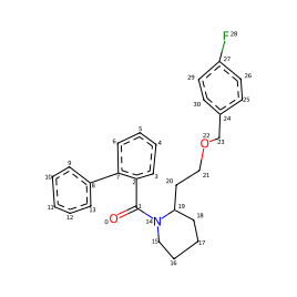 O=C(c1ccccc1-c1ccccc1)N1CCCCC1CCOCc1ccc(F)cc1